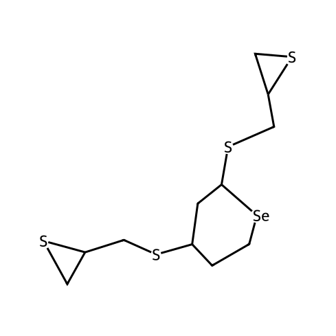 C1CC(SCC2CS2)CC(SCC2CS2)[Se]1